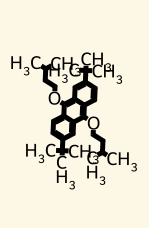 CC(C)CCOc1c2ccc(C(C)(C)C)cc2c(OCCC(C)C)c2ccc(C(C)(C)C)cc12